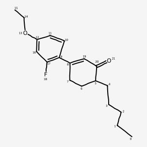 CCCCCC1CCC(c2ccc(OCC)cc2F)=CC1=O